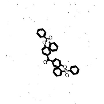 O=C(c1ccc(OP(=O)(c2ccccc2)c2ccccc2)cc1)c1ccc(OP(=O)(c2ccccc2)c2ccccc2)cc1